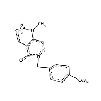 C=Cc1c(N(C)C)cnn(Cc2ccc(OC)cc2)c1=O